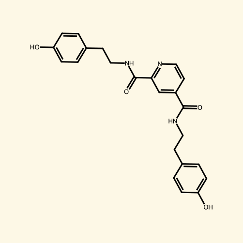 O=C(NCCc1ccc(O)cc1)c1ccnc(C(=O)NCCc2ccc(O)cc2)c1